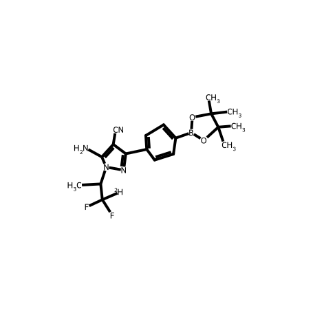 [2H]C(F)(F)C(C)n1nc(-c2ccc(B3OC(C)(C)C(C)(C)O3)cc2)c(C#N)c1N